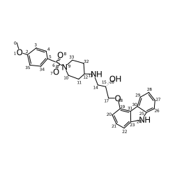 COc1ccc(S(=O)(=O)N2CCC(NC[C@H](O)COc3cccc4[nH]c5ccccc5c34)CC2)cc1